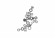 CC(C)CN(c1ccc(-n2cccc2C(=O)OCC(C)CN(c2ccc(-n3cccc3C(=O)O)cc2NC(=O)Nc2ccc(Cl)cc2)C2CCCCC2)cc1NC(=O)Nc1ccc(Br)cc1)C1CCCCC1